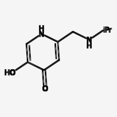 CC(C)NCc1cc(=O)c(O)c[nH]1